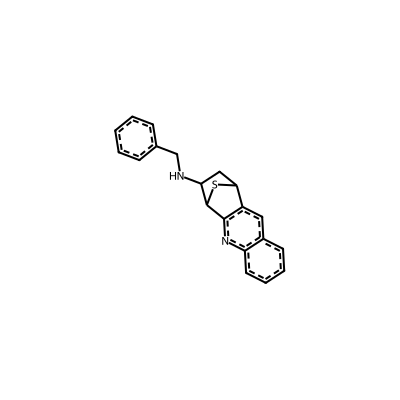 c1ccc(CNC2CC3SC2c2nc4ccccc4cc23)cc1